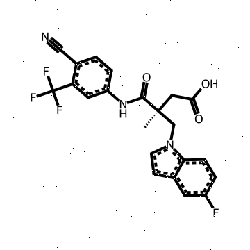 C[C@](CC(=O)O)(Cn1ccc2cc(F)ccc21)C(=O)Nc1ccc(C#N)c(C(F)(F)F)c1